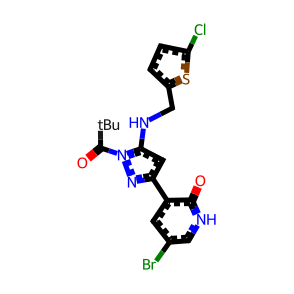 CC(C)(C)C(=O)n1nc(-c2cc(Br)c[nH]c2=O)cc1NCc1ccc(Cl)s1